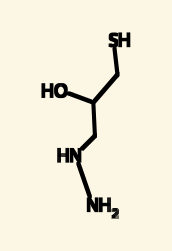 NNCC(O)CS